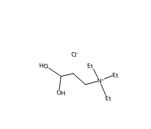 CC[N+](CC)(CC)CCC(O)O.[Cl-]